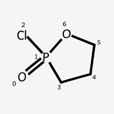 O=P1(Cl)CCCO1